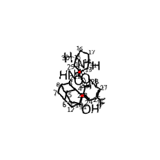 O=C(NC1C2CC3CC1CC(O)(C3)C2)N1[C@@H]2CC[C@H]1C[C@@H](Oc1ccc(F)cn1)C2